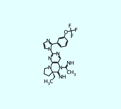 CC[C@@]12CCCN1c1nc(-n3ccnc3-c3cccc(OC(F)(F)F)c3)ncc1N(C(C)=N)C2=N